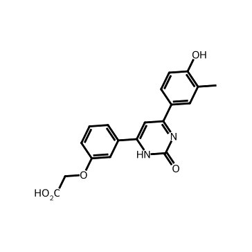 Cc1cc(-c2cc(-c3cccc(OCC(=O)O)c3)[nH]c(=O)n2)ccc1O